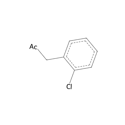 [CH2]C(=O)Cc1ccccc1Cl